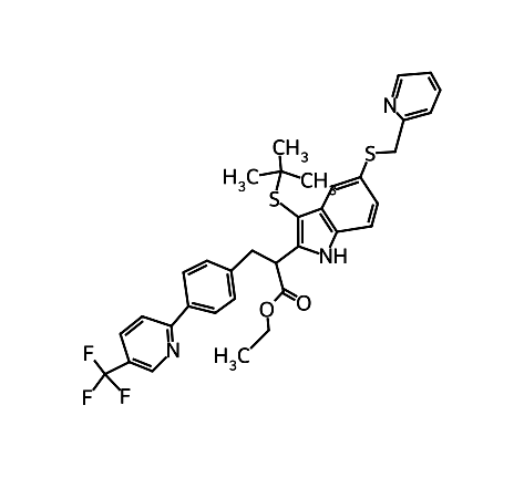 CCOC(=O)C(Cc1ccc(-c2ccc(C(F)(F)F)cn2)cc1)c1[nH]c2ccc(SCc3ccccn3)cc2c1SC(C)(C)C